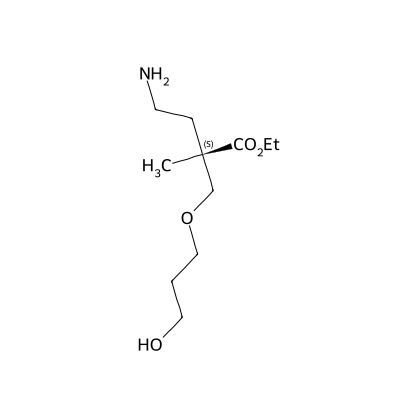 CCOC(=O)[C@@](C)(CCN)COCCCO